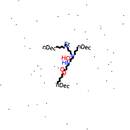 CCCCCCCCCCCCCCCOC(=O)CCCNCC(O)CN(CCCCCCCCCCCCCC)CCCCN(CC)CCCCCCCCCCCCCC